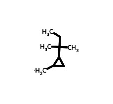 [CH2]C1CC1C(C)(C)CC